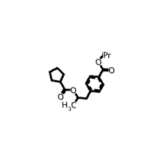 CC(C)OC(=O)c1ccc(CC(C)OC(=O)C2CCCC2)cc1